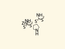 C1CCNC1.NC(=S)[S-].NC(=S)[S-].[Zn+2]